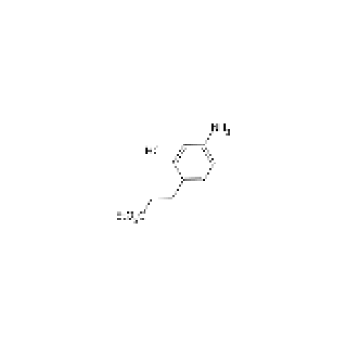 CCOC(=O)CCc1ccc(N)cc1.Cl